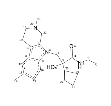 CCNC(=O)C(O)(Cn1c2c(c3cc(C)ccc31)CCN(C)C2)C1CCC1